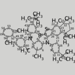 Cc1cc2c3c(c1)N(c1ccc(C(C)(C)C)cc1)c1c(sc4cc5c(cc14)C(C)(C)CCC5(C)C)B3c1cc(C(C)(C)C)ccc1N2c1cc(-c2c(C)cccc2C)ccc1C